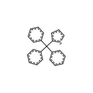 c1ccc(C(c2ccccc2)(c2ccccc2)c2cccs2)cc1